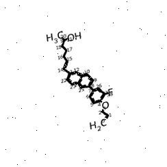 C=CCOc1ccc(-c2ccc3cc(C=CCCCC(C)O)ccc3c2)cc1F